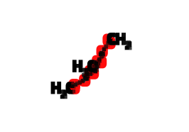 C=CC(=O)OCCCCCCOc1ccc(C=CC(=O)Oc2ccc3c(c2)C(C)c2cc(OC(=O)C=Cc4ccc(OCCCCCCOC(=O)C=C)cc4)ccc2-3)cc1